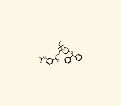 CCC(C)(C)[N+]1(CCCC(=O)c2cccc(OC(C)=O)c2)CCC(OC(c2ccccc2)c2ccccc2)CC1